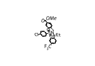 CC[C@H](c1ccc(C(F)(F)F)cc1)N(Cc1ccc(C(=O)OC)cc1)S(=O)(=O)c1ccc(Cl)cc1